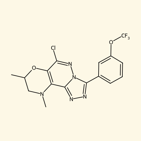 CC1CN(C)c2c(c(Cl)nn3c(-c4cccc(OC(F)(F)F)c4)nnc23)O1